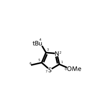 COc1nc(C(C)(C)C)c(C)s1